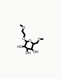 COCCOC1OC(COC)C(O)C(O)C1O